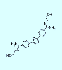 NC(=NCCO)c1ccc(-c2ccc(-c3ccc(C(N)=NCCO)cc3)o2)cc1